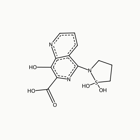 O=C(O)c1nc(N2CCCS2(O)O)c2cccnc2c1O